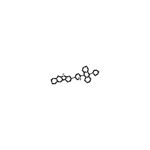 c1ccc(-c2c3ccccc3c(-c3ccc(-c4ccc5c(c4)sc4cc6ccccc6cc45)cn3)c3ccccc23)cc1